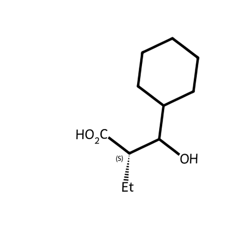 CC[C@H](C(=O)O)C(O)C1CCCCC1